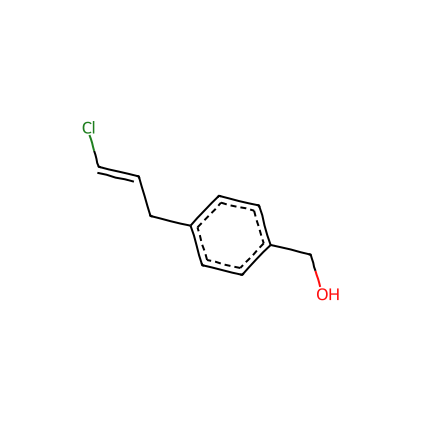 OCc1ccc(CC=CCl)cc1